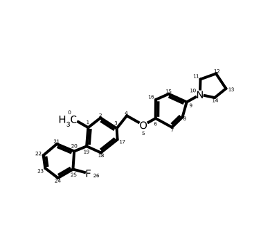 Cc1cc(COc2ccc(N3CCCC3)cc2)ccc1-c1ccccc1F